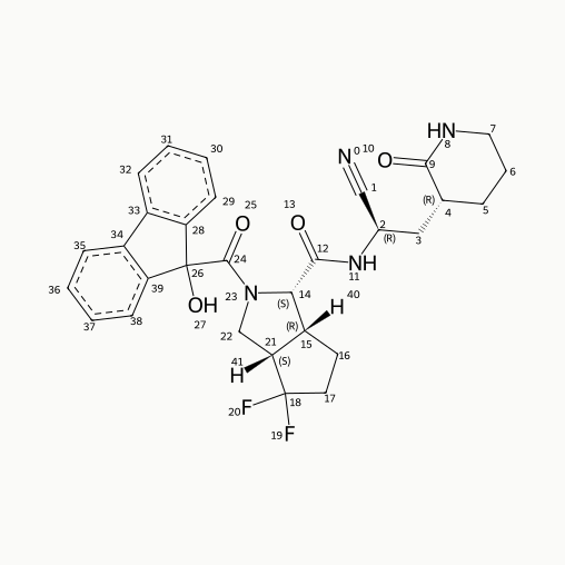 N#C[C@@H](C[C@H]1CCCNC1=O)NC(=O)[C@@H]1[C@@H]2CCC(F)(F)[C@@H]2CN1C(=O)C1(O)c2ccccc2-c2ccccc21